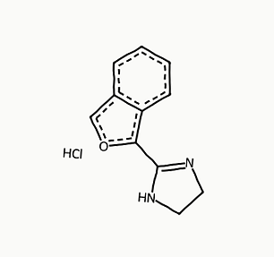 Cl.c1ccc2c(C3=NCCN3)occ2c1